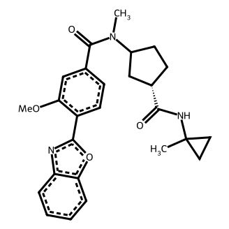 COc1cc(C(=O)N(C)C2CC[C@H](C(=O)NC3(C)CC3)C2)ccc1-c1nc2ccccc2o1